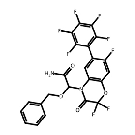 NC(=O)C(OCc1ccccc1)N1C(=O)C(F)(F)Oc2cc(F)c(-c3c(F)c(F)c(F)c(F)c3F)cc21